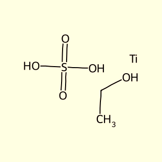 CCO.O=S(=O)(O)O.[Ti]